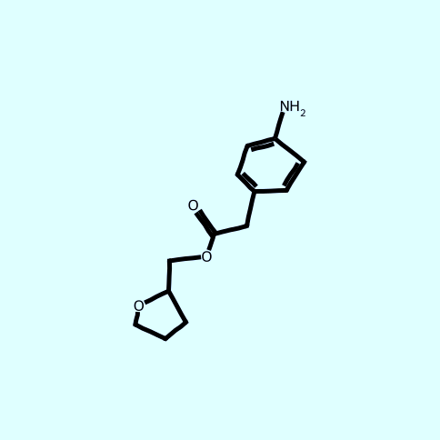 Nc1ccc(CC(=O)OCC2CCCO2)cc1